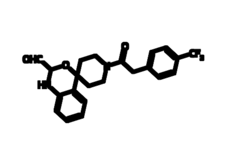 O=CC1Nc2ccccc2C2(CCN(C(=O)Cc3ccc(C(F)(F)F)cc3)CC2)O1